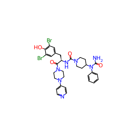 NC(=O)N(c1ccccc1)C1CCN(C(=O)N[C@H](Cc2cc(Br)c(O)c(Br)c2)C(=O)N2CCN(c3ccncc3)CC2)CC1